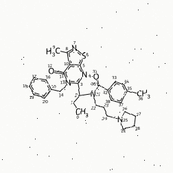 CCC(c1nc2snc(C)c2c(=O)n1Cc1ccccc1)N(CCCN1CCCC1)C(=O)c1ccc(C)cc1